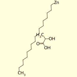 CC(O)C(=O)O.CCCCCCCCCCCCCCCCC[CH2][Zn]